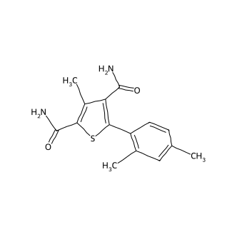 Cc1ccc(-c2sc(C(N)=O)c(C)c2C(N)=O)c(C)c1